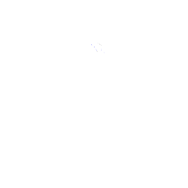 CCCCCCCCCCCCCCCCCC(C)n1ccnc1C(CCCCCCCC)CCCCCCCCC